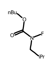 CCCCOC(=O)N(F)CC(C)C